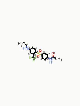 CCNc1ccc(S(=O)(=O)c2ccc(NC(C)=O)cc2)c(C(F)(F)F)c1